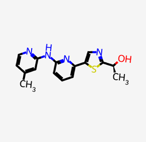 Cc1ccnc(Nc2cccc(-c3cnc([C@H](C)O)s3)n2)c1